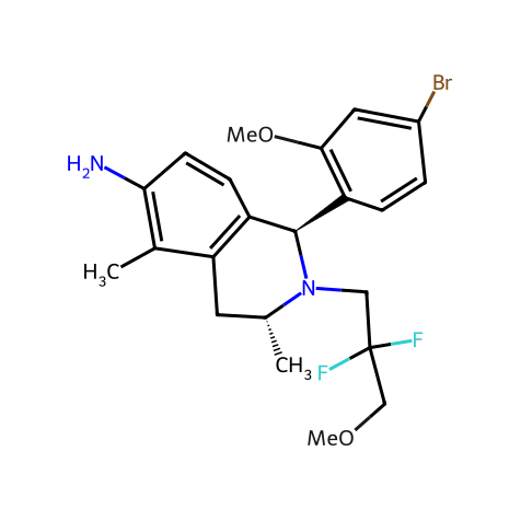 COCC(F)(F)CN1[C@H](c2ccc(Br)cc2OC)c2ccc(N)c(C)c2C[C@H]1C